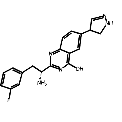 N[C@H](Cc1cccc(F)c1)c1nc(O)c2cc(C3C=NNC3)ccc2n1